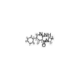 Cc1c(-c2ccccc2)[c]nc(N)c1C(=O)N1CCC1